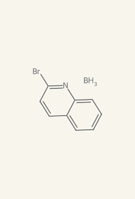 B.Brc1ccc2ccccc2n1